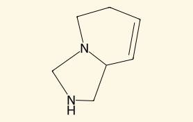 C1=CC2CNCN2CC1